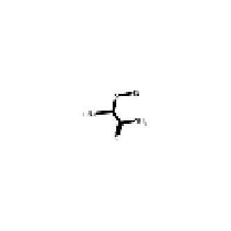 CCCCC(SCC)C(N)=O